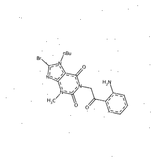 CCCCn1c(Br)nc2c1c(=O)n(CC(=O)c1ccccc1N)c(=O)n2C